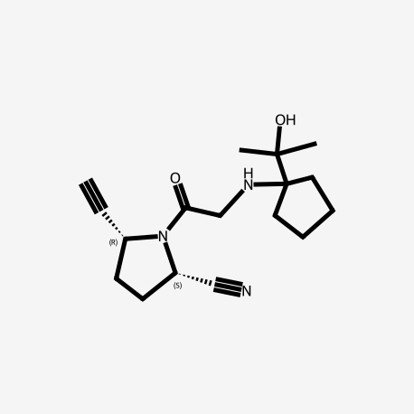 C#C[C@H]1CC[C@@H](C#N)N1C(=O)CNC1(C(C)(C)O)CCCC1